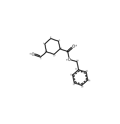 O=CC1CCCC(C(=O)OCc2ccccc2)C1